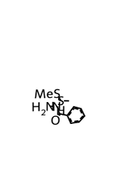 CS[SH](C)N(N)C(=O)c1ccccc1